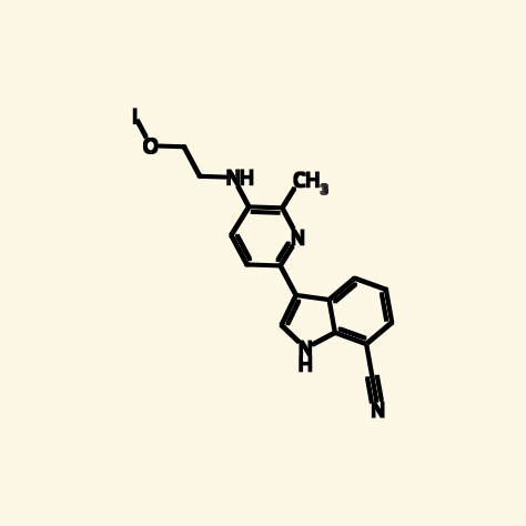 Cc1nc(-c2c[nH]c3c(C#N)cccc23)ccc1NCCOI